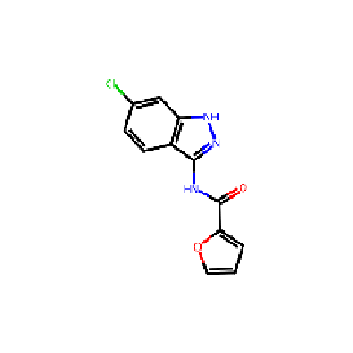 O=C(Nc1n[nH]c2cc(Cl)ccc12)c1ccco1